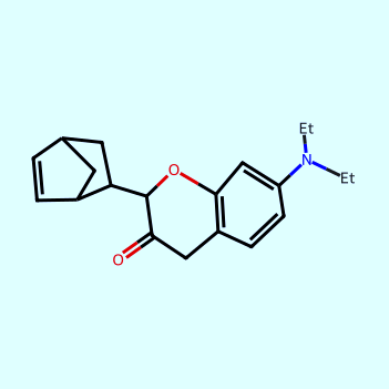 CCN(CC)c1ccc2c(c1)OC(C1CC3C=CC1C3)C(=O)C2